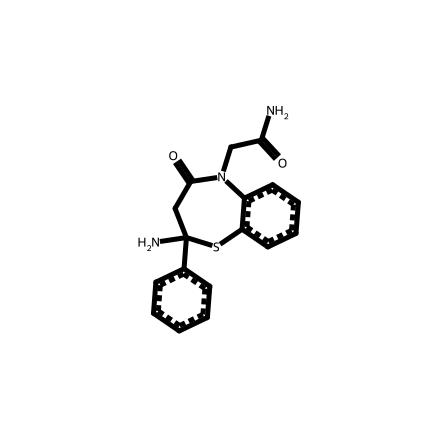 NC(=O)CN1C(=O)CC(N)(c2ccccc2)Sc2ccccc21